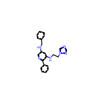 c1ccc(CNc2cnc(-c3ccccc3)c(NCCn3cncn3)c2)cc1